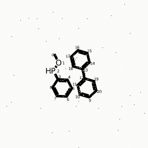 COPc1ccccc1.c1ccc(-c2ccccc2)cc1